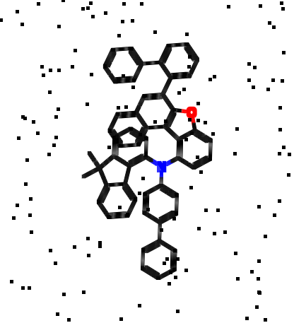 CC1(C)c2ccccc2-c2c(N(c3ccc(-c4ccccc4)cc3)c3cccc4oc5c(-c6ccccc6-c6ccccc6)cc6ccccc6c5c34)cccc21